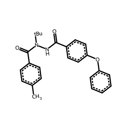 Cc1ccc(C(=O)N(NC(=O)c2ccc(Oc3ccccc3)cc2)C(C)(C)C)cc1